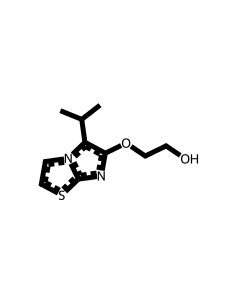 CC(C)c1c(OCCO)nc2sccn12